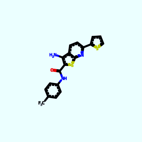 Nc1c(C(=O)Nc2ccc(C(F)(F)F)cc2)sc2nc(-c3cccs3)ccc12